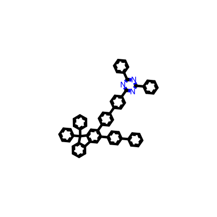 c1ccc(-c2ccc(-c3cc4c(cc3-c3ccc(-c5ccc(-c6nc(-c7ccccc7)nc(-c7ccccc7)n6)cc5)cc3)C(c3ccccc3)(c3ccccc3)c3ccccc3-4)cc2)cc1